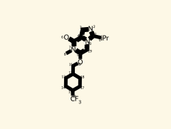 CC(C)c1ncc2c(=O)n(C)c(OCC3CCC(C(F)(F)F)CC3)cn12